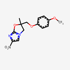 CC1(COc2ccc(OC(F)(F)F)cc2)Cn2cc([N+](=O)[O-])nc2O1